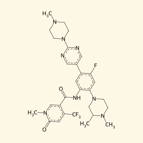 CC1CN(c2cc(F)c(-c3cnc(N4CCN(C)CC4)nc3)cc2NC(=O)c2cn(C)c(=O)cc2C(F)(F)F)CCN1C